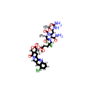 CC[C@@]1(OC(=O)CCC(F)(F)CN(C(=O)[C@@H](NC(=O)OC(C)(C)C)C(C)C)[C@@H](CCCNC(N)=O)C(N)=O)C(=O)OCc2c1cc1n(c2=O)Cc2cc3c(Br)cccc3nc2-1